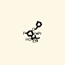 CCC(O)(c1cc(F)cc(OCc2ccccc2)c1)C(OC(C)C)[SiH](C)C